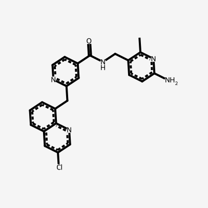 Cc1nc(N)ccc1CNC(=O)c1ccnc(Cc2cccc3cc(Cl)cnc23)c1